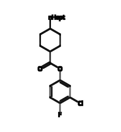 CCCCCCCC1CCC(C(=O)Oc2ccc(F)c(Cl)c2)CC1